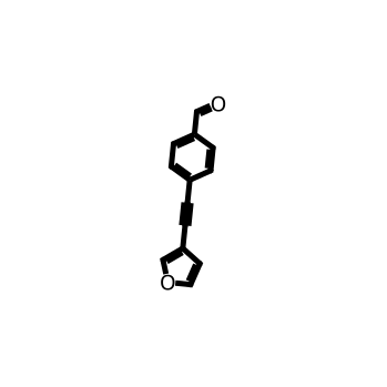 O=Cc1ccc(C#Cc2ccoc2)cc1